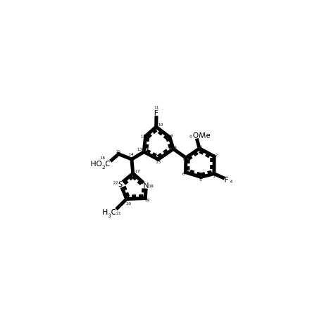 COc1cc(F)ccc1-c1cc(F)cc(C(CC(=O)O)c2ncc(C)s2)c1